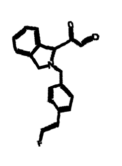 O=CC(=O)C1c2ccccc2CN1Cc1ccc(C=CF)cc1